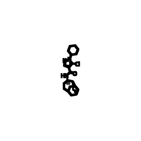 O=C(N[C@H]1CCC2CC3CC(C2)C1C3)c1cnn(C2CCCCC2)c1Cl